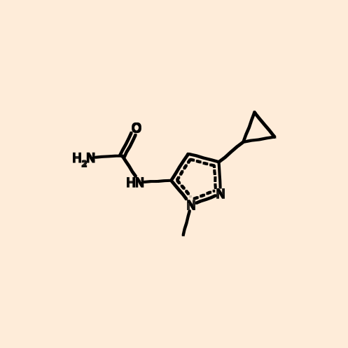 Cn1nc(C2CC2)cc1NC(N)=O